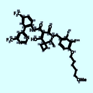 COCCCCCOc1ccc(CN2C(=O)C(C(=O)Nc3ccc(C(F)(F)F)cc3-c3cc(C(F)(F)F)ncn3)=C(O)C3(CCC3)N2C)c(F)c1F